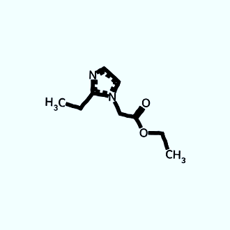 CCOC(=O)Cn1ccnc1CC